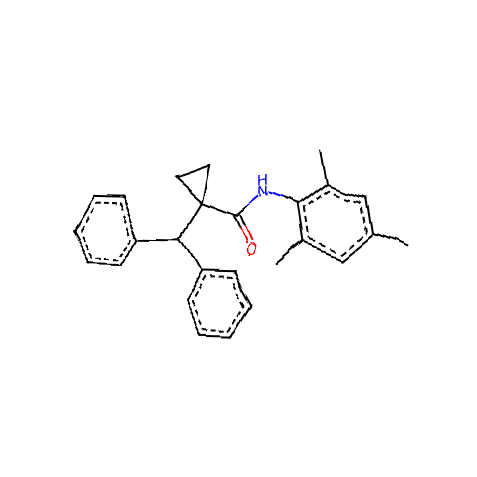 Cc1cc(C)c(NC(=O)C2(C(c3ccccc3)c3ccccc3)CC2)c(C)c1